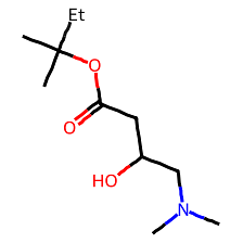 CCC(C)(C)OC(=O)CC(O)CN(C)C